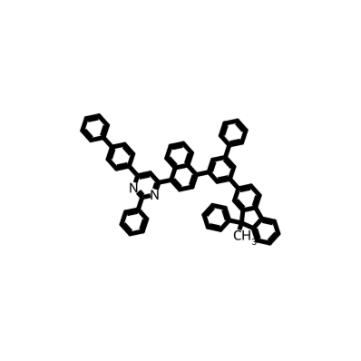 CC1(c2ccccc2)c2ccccc2-c2ccc(-c3cc(-c4ccccc4)cc(-c4ccc(-c5cc(-c6ccc(-c7ccccc7)cc6)nc(-c6ccccc6)n5)c5ccccc45)c3)cc21